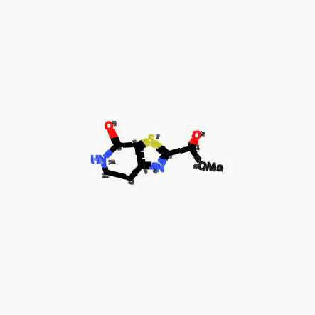 COC(=O)c1nc2c(s1)C(=O)NCC2